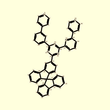 c1cc(-c2ccncc2)cc(-c2nc(-c3ccc4c(c3)-c3ccccc3C43c4ccccc4-c4ccccc43)nc(-c3cccc(-c4ccncc4)n3)n2)c1